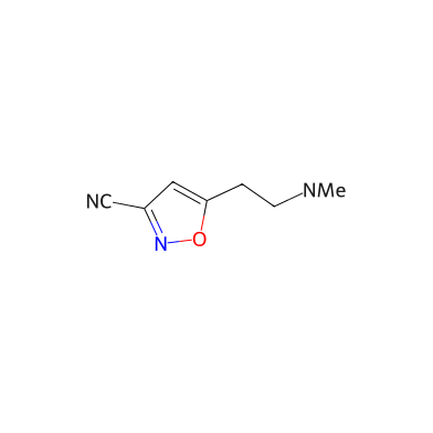 CNCCc1cc(C#N)no1